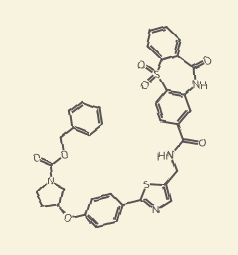 O=C(NCc1cnc(-c2ccc(O[C@H]3CCN(C(=O)OCc4ccccc4)C3)cc2)s1)c1ccc2c(c1)NC(=O)c1ccccc1S2(=O)=O